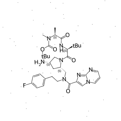 C[C@@H](C(=O)N[C@H](C(=O)N1C[C@@H](N)C[C@H]1CN(CCc1ccc(F)cc1)C(=O)c1cn2cccnc2n1)C(C)(C)C)N(C)C(=O)OC(C)(C)C